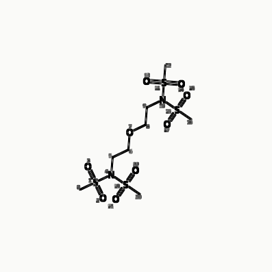 CS(=O)(=O)N(CCOCCN(S(C)(=O)=O)S(C)(=O)=O)S(C)(=O)=O